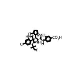 COc1cc(C(=O)O)ccc1NC(=O)[C@@H]1N[C@@H](CC(C)(C)CF)[C@@]2(C(=O)Nc3cc(Cl)ccc32)C1C1C=CC=C1Cl